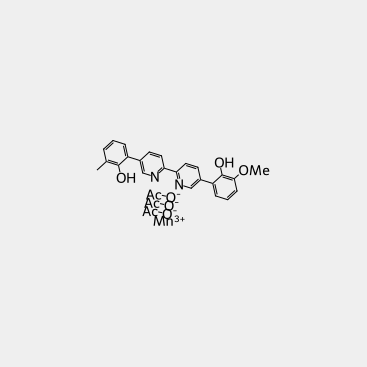 CC(=O)[O-].CC(=O)[O-].CC(=O)[O-].COc1cccc(-c2ccc(-c3ccc(-c4cccc(C)c4O)cn3)nc2)c1O.[Mn+3]